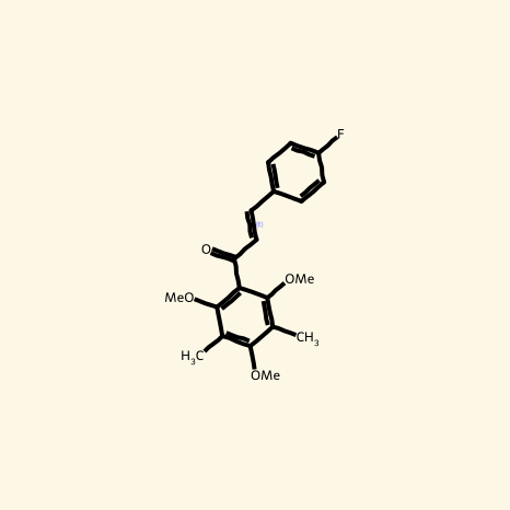 COc1c(C)c(OC)c(C(=O)/C=C/c2ccc(F)cc2)c(OC)c1C